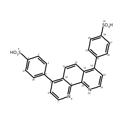 O=S(=O)(O)c1ccc(-c2ccnc3c2ccc2c(-c4ccc(S(=O)(=O)O)cc4)ccnc23)cc1